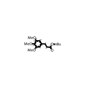 CCCCOC(=O)CCc1cc(OC)c(OC)c(OC)c1